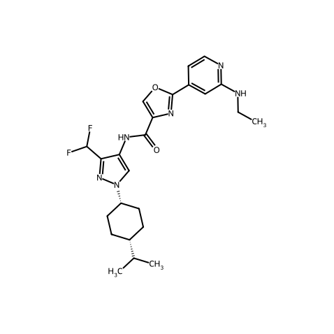 CCNc1cc(-c2nc(C(=O)Nc3cn([C@H]4CC[C@@H](C(C)C)CC4)nc3C(F)F)co2)ccn1